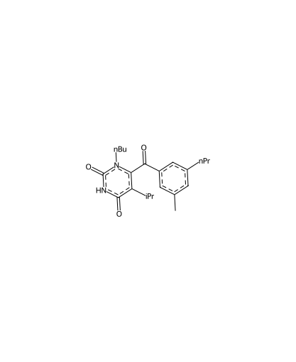 CCCCn1c(C(=O)c2cc(C)cc(CCC)c2)c(C(C)C)c(=O)[nH]c1=O